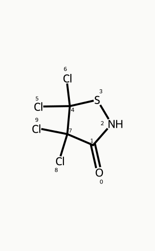 O=C1NSC(Cl)(Cl)C1(Cl)Cl